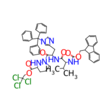 CC(C)C(NC(=O)OCC1c2ccccc2-c2ccccc21)C(=O)NC(Cc1cn(C(c2ccccc2)(c2ccccc2)c2ccccc2)cn1)C(=O)N1CCCC(C(=O)OCC(Cl)(Cl)Cl)N1